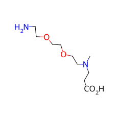 CN(CCOCCOCCN)CCC(=O)O